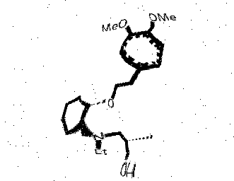 CCN(C[C@H](C)O)C1CCCC[C@@H]1OCCc1ccc(OC)c(OC)c1